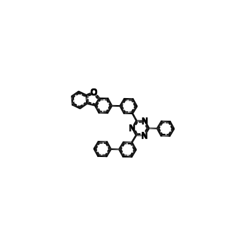 c1ccc(-c2cccc(-c3nc(-c4ccccc4)nc(-c4cccc(-c5ccc6c(c5)oc5ccccc56)c4)n3)c2)cc1